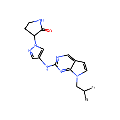 CCC(CC)Cn1ccc2cnc(Nc3cnn(C4CCNC4=O)c3)nc21